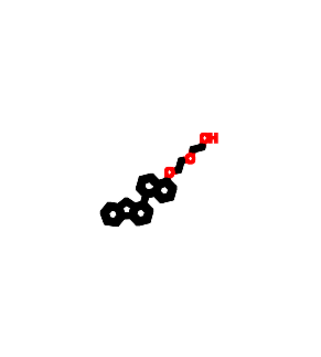 OCCOCCOc1cccc2c(-c3cccc4c3Cc3ccccc3-4)cccc12